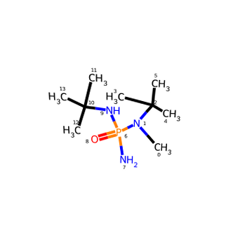 CN(C(C)(C)C)P(N)(=O)NC(C)(C)C